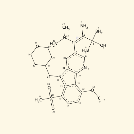 BC(B)(O)/C(N)=C(\c1cnc2c3c(OC)ccc(S(C)(=O)=O)c3n(CC3CCOCC3)c2c1)N(C)N